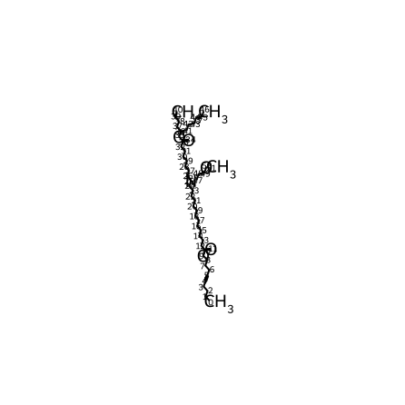 CCCCC#CCCCOC(=O)CCCCCCCCCCCCCN(CCCCCCCC(=O)OC(CCCC)CCCCCC)CCCOC